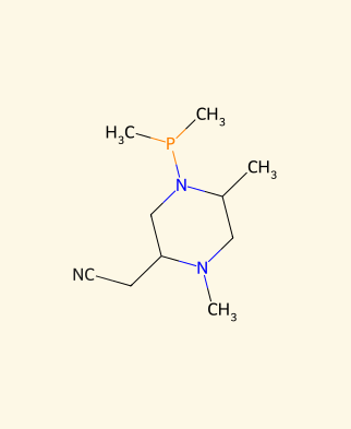 CC1CN(C)C(CC#N)CN1P(C)C